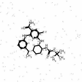 CCc1cccc(Nc2nc(N[C@@H]3CCCC[C@@H]3NC(=O)OC(C)(C)C)c(F)cc2C(N)=O)c1